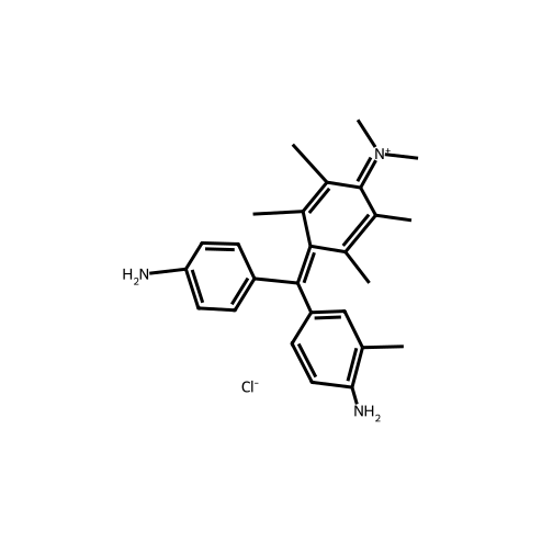 CC1=C(C)C(=[N+](C)C)C(C)=C(C)C1=C(c1ccc(N)cc1)c1ccc(N)c(C)c1.[Cl-]